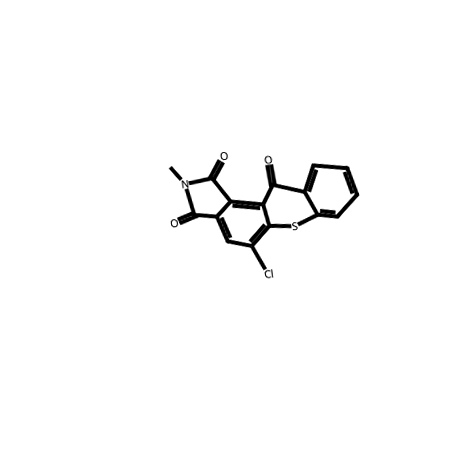 CN1C(=O)c2cc(Cl)c3sc4ccccc4c(=O)c3c2C1=O